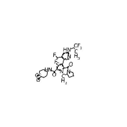 CC1CCCN1C(=O)c1nc(C(=O)NC2CCS(=O)(=O)CC2)sc1-c1cnc(NC(C)C(F)(F)F)cc1C(F)F